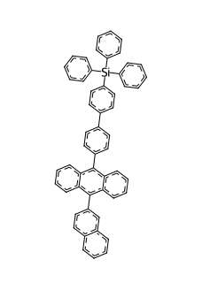 c1ccc([Si](c2ccccc2)(c2ccccc2)c2ccc(-c3ccc(-c4c5ccccc5c(-c5ccc6ccccc6c5)c5ccccc45)cc3)cc2)cc1